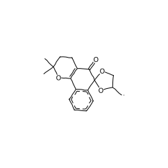 [CH2]C1COC2(O1)C(=O)C1=C(OC(C)(C)CC1)c1ccccc12